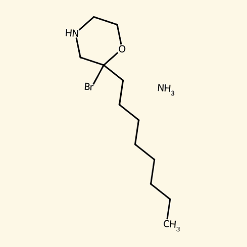 CCCCCCCCC1(Br)CNCCO1.N